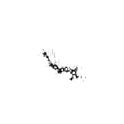 CCOc1cc(C(=O)OC)c(C2CC2)cc1CN1CCC2(CC1)CC(=O)N(c1ccc(C(=O)NCCCNC(N)=O)cc1)C2